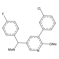 CNC(c1ccc(F)cc1)c1cnc(OC)c(-c2cccc(Cl)c2)c1